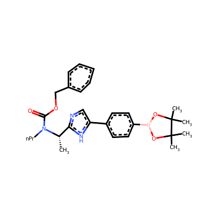 CCCN(C(=O)OCc1ccccc1)[C@@H](C)c1ncc(-c2ccc(B3OC(C)(C)C(C)(C)O3)cc2)[nH]1